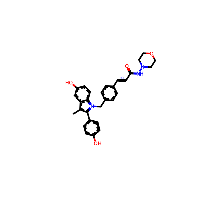 Cc1c(-c2ccc(O)cc2)n(Cc2ccc(/C=C/C(=O)NN3CCOCC3)cc2)c2ccc(O)cc12